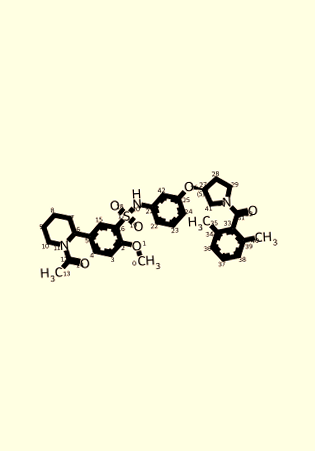 COc1ccc(C2CCCCN2C(C)=O)cc1S(=O)(=O)Nc1cccc(O[C@H]2CCN(C(=O)c3c(C)cccc3C)C2)c1